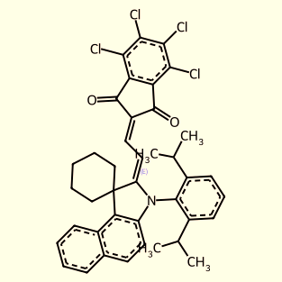 CC(C)c1cccc(C(C)C)c1N1/C(=C/C=C2C(=O)c3c(Cl)c(Cl)c(Cl)c(Cl)c3C2=O)C2(CCCCC2)c2c1ccc1ccccc21